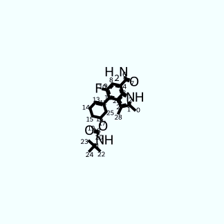 Cc1[nH]c2c(C(N)=O)cc(F)c(C3=CCC[C@H](OC(=O)NC(C)(C)C)C3)c2c1C